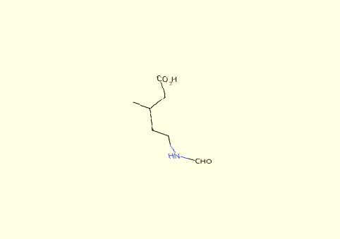 CC(CCNC=O)CC(=O)O